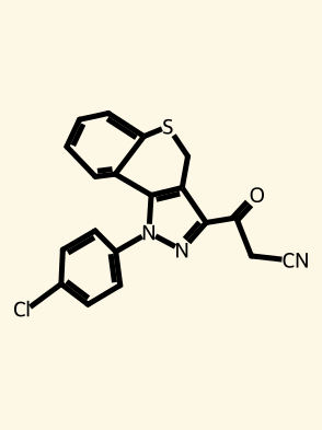 N#CCC(=O)c1nn(-c2ccc(Cl)cc2)c2c1CSc1ccccc1-2